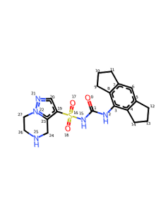 O=C(Nc1c2c(cc3c1CCC3)CCC2)NS(=O)(=O)c1cnn2c1CNCC2